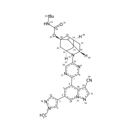 Cn1cc(-c2cc(-c3cnc(N4[C@@H]5C[C@@H]6C[C@H]4C[C@@](OC(=O)NC(C)(C)C)(C6)C5)cn3)c3c(C#N)cnn3c2)cn1